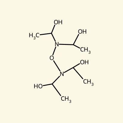 CC(O)N(ON(C(C)O)C(C)O)C(C)O